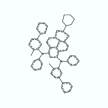 Cc1ccc(-c2ccccc2)cc1N(c1ccccc1)c1cc(N(c2ccccc2)c2cc(-c3ccccc3)ccc2C)c2ccc3cc(C4CCCCC4)cc4ccc1c2c43